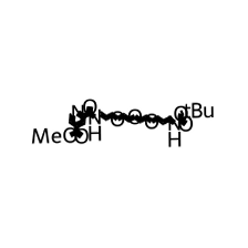 COC(=O)c1ccnc(C(=O)NCCCOCCOCCOCCCNC(=O)OC(C)(C)C)c1